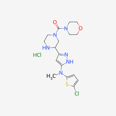 CN(c1cc(C2CN(C(=O)N3CCOCC3)CCN2)n[nH]1)c1ccc(Cl)s1.Cl